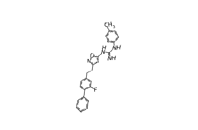 Cc1ccc(NC(=N)Nc2cc(CCc3ccc(-c4ccccc4)c(F)c3)no2)cc1